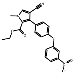 CCOC(=O)c1c(-c2ccc(Oc3cccc([N+](=O)[O-])c3)cc2)c(C#N)cn1C